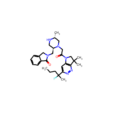 CCCC(C)(F)c1cc2c(nn1)C(C)(C)CN2C(=O)CN1C[C@@H](C)NC[C@@H]1CN1Cc2ccccc2C1=O